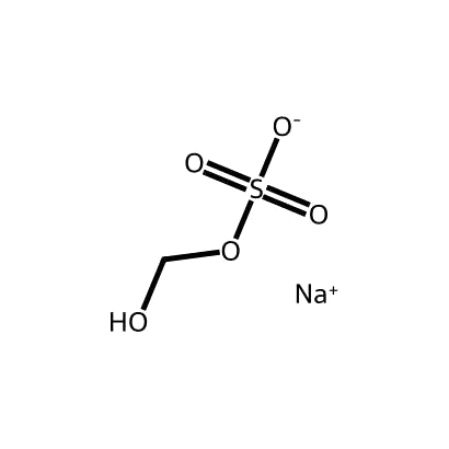 O=S(=O)([O-])OCO.[Na+]